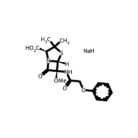 CO[C@@]1(NC(=O)COc2ccccc2)C(=O)N2[C@@H](C(=O)O)C(C)(C)S[C@@H]21.[NaH]